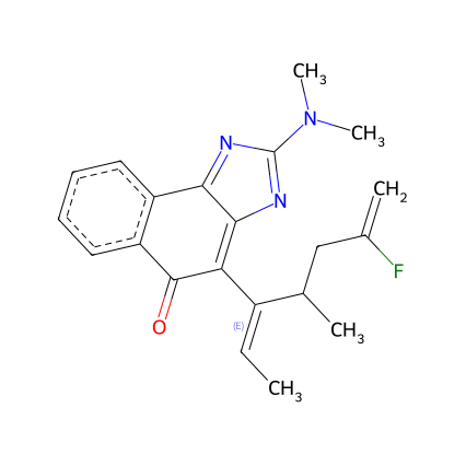 C=C(F)CC(C)/C(=C\C)C1=C2N=C(N(C)C)N=C2c2ccccc2C1=O